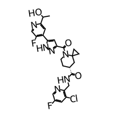 CC(O)c1cc(-c2cc(C(=O)N3CC[C@@H](C(=O)NCc4ncc(F)cc4Cl)CC34CC4)n[nH]2)c(F)cn1